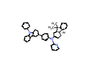 CC1(C)C2=CC(N(c3ccc(-c4ccc5c(c4)c4ccccc4n5-c4ccccc4)cc3)c3ccccn3)=CC[C@@H]2c2ccccc21